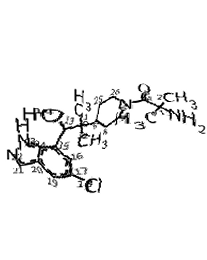 CC(C)(N)C(=O)N1CCC(C(C)(C)C(O)c2cc(Cl)cc3cn[nH]c23)CC1